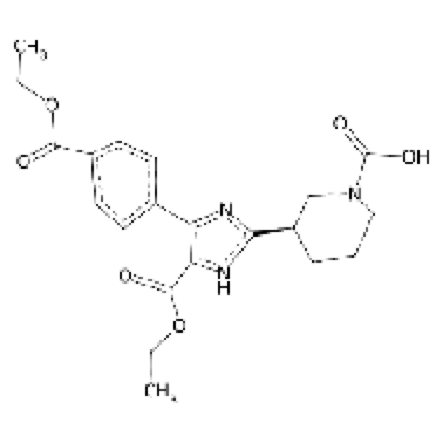 CCOC(=O)c1ccc(-c2nc([C@@H]3CCCN(C(=O)O)C3)[nH]c2C(=O)OCC)cc1